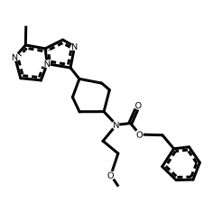 COCCN(C(=O)OCc1ccccc1)C1CCC(c2ncc3c(C)nccn23)CC1